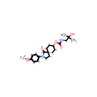 CC(C)(O)CNC(=O)O[C@H]1CC[C@@]2(CCN(c3ccc(OC(F)(F)F)cc3)C2=O)CC1